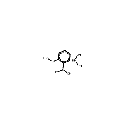 COc1ccncc1B(O)O.OBO